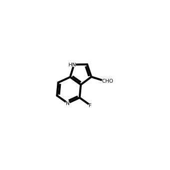 O=Cc1c[nH]c2ccnc(F)c12